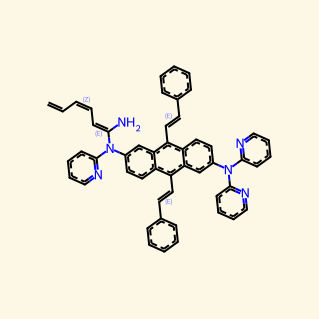 C=C/C=C\C=C(/N)N(c1ccc2c(/C=C/c3ccccc3)c3cc(N(c4ccccn4)c4ccccn4)ccc3c(/C=C/c3ccccc3)c2c1)c1ccccn1